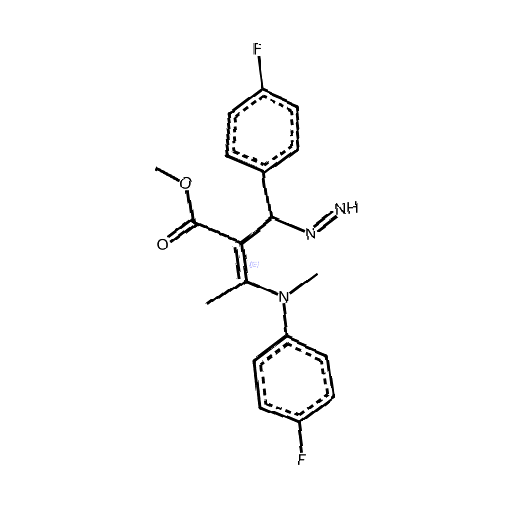 COC(=O)/C(=C(\C)N(C)c1ccc(F)cc1)C(N=N)c1ccc(F)cc1